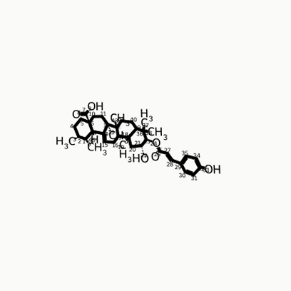 C[C@H]1[C@H](C)CC[C@]2(C(=O)O)CC[C@]3(C)C(=CCC4[C@@]5(C)C[C@@H](O)[C@H](OC(=O)/C=C/c6ccc(O)cc6)C(C)(C)C5CC[C@]43C)[C@H]12